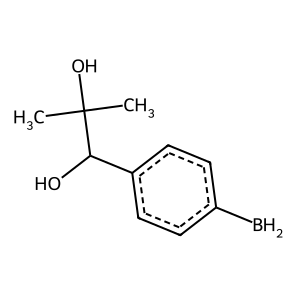 Bc1ccc(C(O)C(C)(C)O)cc1